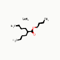 CCCCOC(=O)C(CCCC)CCCC.[GeH4]